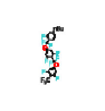 CCCCc1ccc(C(F)(F)Oc2cc(F)c(C(F)(F)Oc3cc(F)c(C(F)(F)F)c(F)c3)c(F)c2)c(F)c1